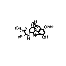 CCC[C@H](N[C@H]1CC[C@H]2[C@H]3Cc4c(OC)cc(O)c5c4[C@@]2(CCN3C)[C@H]1O5)C(=S)OC(C)(C)C